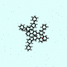 N#Cc1ccc(-n2c3ccc(-c4ccccc4)cc3c3cc(-c4ccccc4)ccc32)c(-c2ccc(-c3nc(-c4ccccc4)nc(-c4ccccc4)n3)cc2-n2c3ccc(-c4ccccc4)cc3c3cc(-c4ccccc4)ccc32)c1